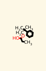 CC(C)(C)c1ccccc1.CCC(=O)O